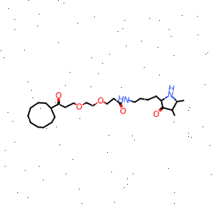 CC1NC(CCCCNC(=O)CCOCCOCCC(=O)C2CCCCCCCCC2)C(=O)C1C